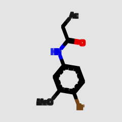 COc1cc(NC(=O)CC(C)=O)ccc1Br